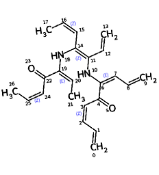 C=C/C=C\C(=O)/C(=C\C=C)N/C(C=C)=C(/C=C\C)N/C(=C/C)C(=O)/C=C\C